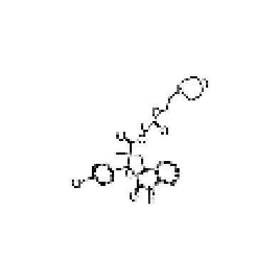 CC(Cc1cc(=O)[nH]c2ccccc12)(C(=O)OOC(=O)OCCN1CCOCC1)C(=O)c1ccc(Cl)cc1